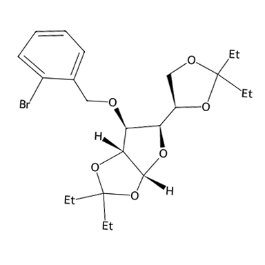 CCC1(CC)O[C@H]2O[C@H]([C@H]3COC(CC)(CC)O3)[C@H](OCc3ccccc3Br)[C@H]2O1